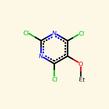 CCOc1c(Cl)nc(Cl)nc1Cl